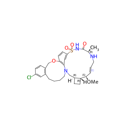 CO[C@@H]1/C=C/CN[C@H](C)C(=O)NS(=O)(=O)c2ccc3c(c2)N(CCCCc2cc(Cl)ccc2CO3)C[C@@H]2CC[C@H]21